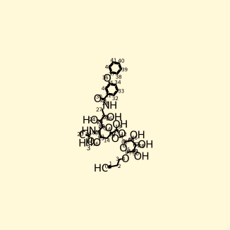 C#CCCO[C@@H]1O[C@H](CO[C@]2(C(=O)O)C[C@@H](O)[C@H](NC(C)=O)[C@@H]([C@@H](O)[C@@H](O)CNC(=O)c3cccc(Oc4ccccc4)c3)O2)[C@H](O)[C@H](O)[C@H]1O